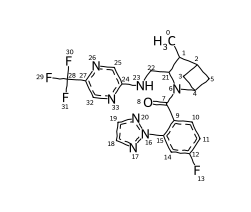 CC1C2CC(C2)N(C(=O)c2ccc(F)cc2-n2nccn2)C1CNc1cnc(C(F)(F)F)cn1